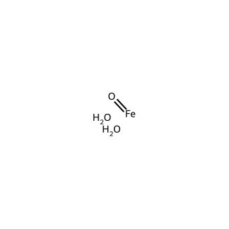 O.O.[O]=[Fe]